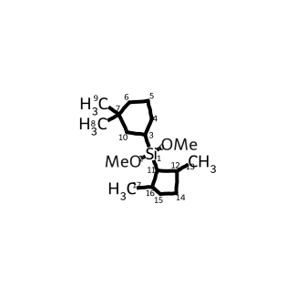 CO[Si](OC)(C1CCCC(C)(C)C1)C1C(C)CCC1C